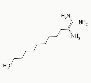 CCCCCCCCCCC(N)=C(N)N